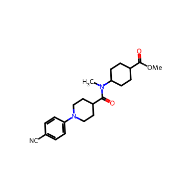 COC(=O)C1CCC(N(C)C(=O)C2CCN(c3ccc(C#N)cc3)CC2)CC1